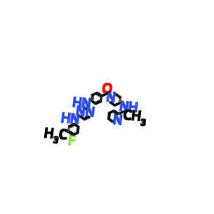 Cc1cc(Nc2ccnc(Nc3ccc(C(=O)N4CCC(NC(C)c5ccccn5)CC4)cc3)n2)ccc1F